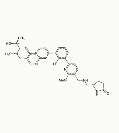 COc1nc(-c2cccc(-c3ccn4c(=O)c(CN(C)C[C@H](C)O)cnc4c3)c2Cl)ccc1CNC[C@@H]1CCC(=O)N1